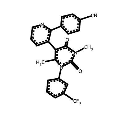 Cc1c(-c2cccnc2-c2ccc(C#N)cc2)c(=O)n(C)c(=O)n1-c1cccc(C(F)(F)F)c1